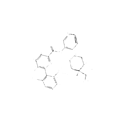 CC(=O)OC[C@]1(O)[C@H](O)C[C@H](c2ccncc2NC(=O)c2ccc(F)c(-c3c(F)cccc3F)n2)C[C@@H]1C